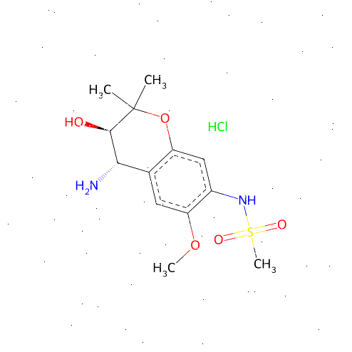 COc1cc2c(cc1NS(C)(=O)=O)OC(C)(C)[C@H](O)[C@H]2N.Cl